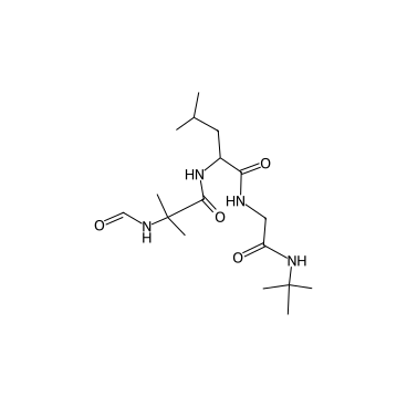 CC(C)CC(NC(=O)C(C)(C)NC=O)C(=O)NCC(=O)NC(C)(C)C